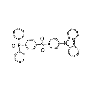 O=P(C1=C=C=C(S(=O)(=O)c2ccc(-n3c4ccccc4c4ccccc43)cc2)C=C1)(c1ccccc1)c1ccccc1